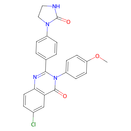 COc1ccc(-n2c(-c3ccc(N4CCNC4=O)cc3)nc3ccc(Cl)cc3c2=O)cc1